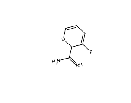 N=C(N)C1OC=CC=C1F